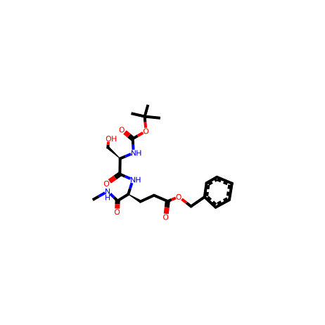 CNC(=O)[C@H](CCC(=O)OCc1ccccc1)NC(=O)[C@@H](CO)NC(=O)OC(C)(C)C